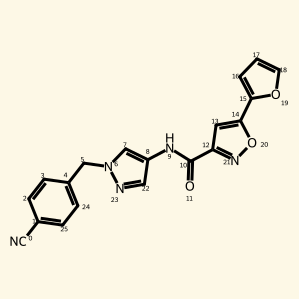 N#Cc1ccc(Cn2cc(NC(=O)c3cc(-c4ccco4)on3)cn2)cc1